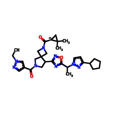 CC(c1nc(C2CN(C(=O)c3cnn(CC#N)c3)CC23CN(C(=O)[C@H]2CC2(C)C)C3)no1)n1ccc(C2CCCC2)n1